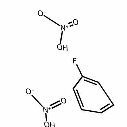 Fc1ccccc1.O=[N+]([O-])O.O=[N+]([O-])O